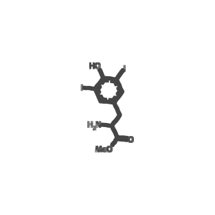 COC(=O)C(N)Cc1cc(I)c(O)c(I)c1